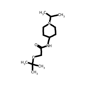 CC(C)N1CCC(NC(=O)COC(C)(C)C)CC1